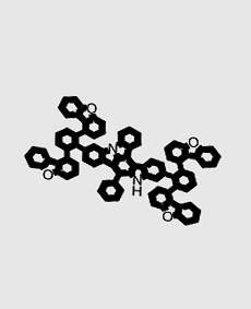 c1ccc(-c2c3[nH]c4cc(-c5c(-c6cccc7oc8ccccc8c67)cccc5-c5cccc6oc7ccccc7c56)ccc4c3c3c4ccccc4n4c5cc(-c6c(-c7cccc8oc9ccccc9c78)cccc6-c6cccc7oc8ccccc8c67)ccc5c2c34)cc1